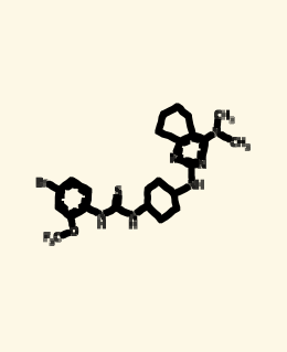 CN(C)c1nc(NC2CCC(NC(=S)Nc3ccc(Br)cc3OC(F)(F)F)CC2)nc2c1CCCC2